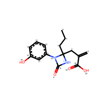 C=C(CC1(CCC)NC(=O)N1c1cccc(O)c1)C(=O)O